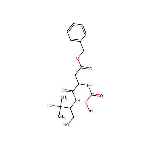 CC(C)(C)OC(=O)NC(CC(=O)OCc1ccccc1)C(=O)NC(CO)C(C)(C)O